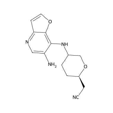 N#CC[C@H]1CCC(Nc2c(N)cnc3ccoc23)CO1